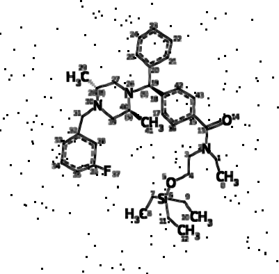 CCN(CCO[Si](CC)(CC)CC)C(=O)c1ccc([C@H](c2ccccc2)N2C[C@@H](C)N(Cc3cccc(F)c3)C[C@@H]2C)cc1